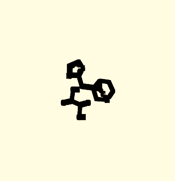 C(=C1CN2CCC1CC2)c1nccs1.O=C(O)C(=O)O